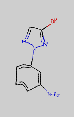 Nc1cccc(-n2ncc(O)n2)c1